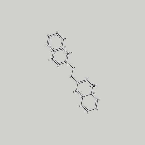 C1=CC2=NC(CCc3cnc4ccccc4n3)=CNC2C=C1